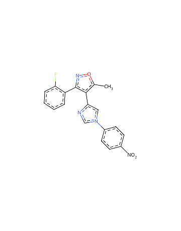 Cc1onc(-c2ccccc2F)c1-c1cn(-c2ccc([N+](=O)[O-])cc2)cn1